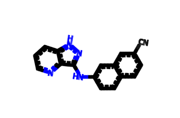 N#Cc1ccc2ccc(Nc3n[nH]c4cccnc34)cc2c1